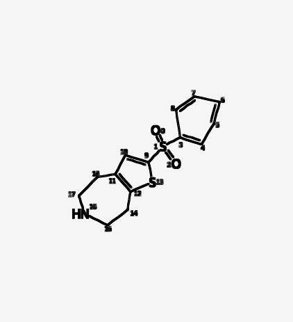 O=S(=O)(c1ccccc1)c1cc2c(s1)CCNCC2